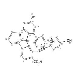 O=C(O)c1ccc2c(c1C#Cc1ccc(O)cc1)C(c1ccc(O)cc1)(c1ccc(O)cc1)c1ccccc1-2